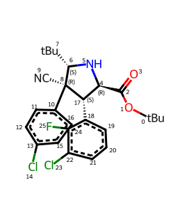 CC(C)(C)OC(=O)[C@@H]1N[C@@H](C(C)(C)C)[C@](C#N)(c2ccc(Cl)cc2)[C@H]1c1cccc(Cl)c1F